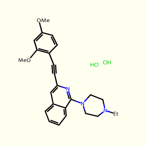 CCN1CCN(c2nc(C#Cc3ccc(OC)cc3OC)cc3ccccc23)CC1.Cl.Cl